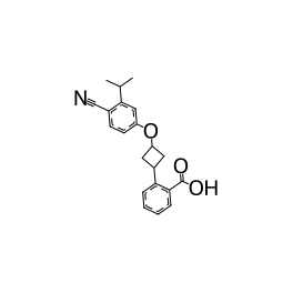 CC(C)c1cc(OC2CC(c3ccccc3C(=O)O)C2)ccc1C#N